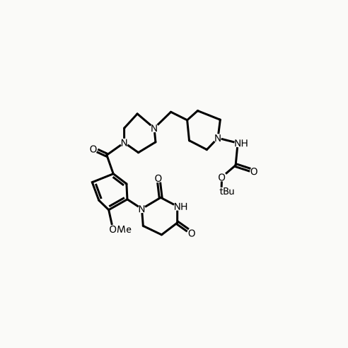 COc1ccc(C(=O)N2CCN(CC3CCN(NC(=O)OC(C)(C)C)CC3)CC2)cc1N1CCC(=O)NC1=O